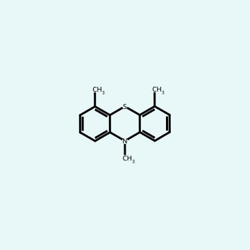 Cc1cccc2c1Sc1c(C)cccc1N2C